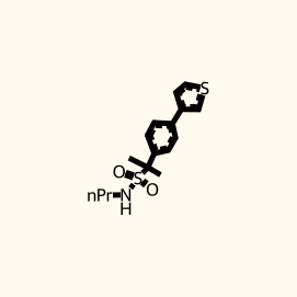 CCCNS(=O)(=O)C(C)(C)c1ccc(-c2ccsc2)cc1